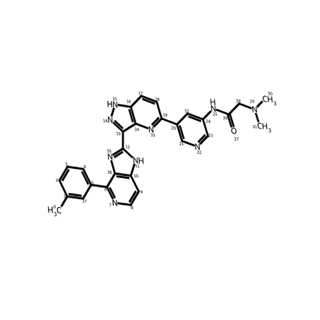 Cc1cccc(-c2nccc3[nH]c(-c4n[nH]c5ccc(-c6cncc(NC(=O)CN(C)C)c6)nc45)nc23)c1